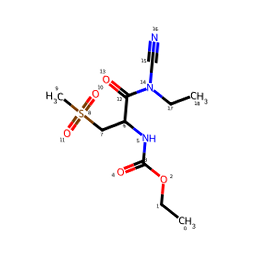 CCOC(=O)NC(CS(C)(=O)=O)C(=O)N(C#N)CC